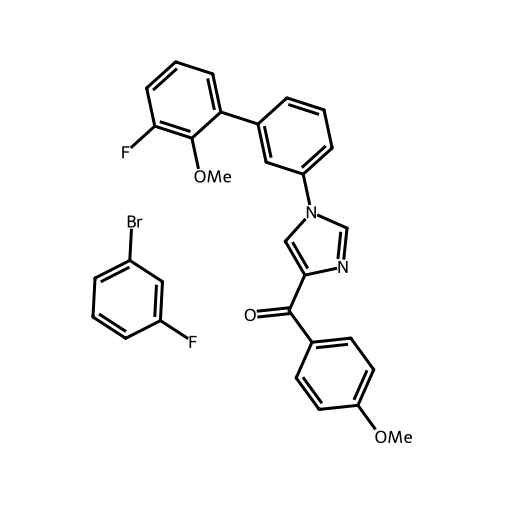 COc1ccc(C(=O)c2cn(-c3cccc(-c4cccc(F)c4OC)c3)cn2)cc1.Fc1cccc(Br)c1